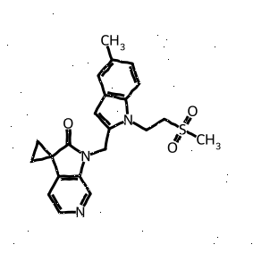 Cc1ccc2c(c1)cc(CN1C(=O)C3(CC3)c3ccncc31)n2CCS(C)(=O)=O